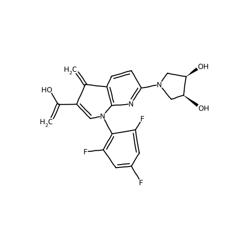 C=C(O)C1=CN(c2c(F)cc(F)cc2F)c2nc(N3C[C@@H](O)[C@@H](O)C3)ccc2C1=C